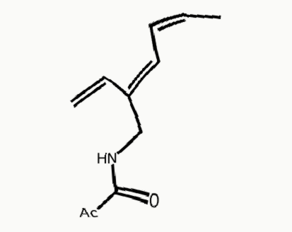 C=C/C(=C\C=C/C)CNC(=O)C(C)=O